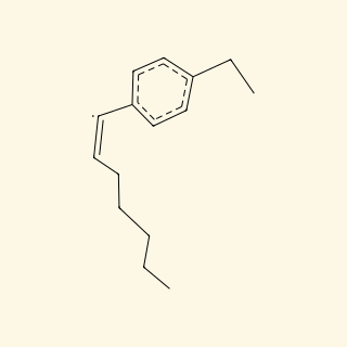 CCCCC/C=[C]\c1ccc(CC)cc1